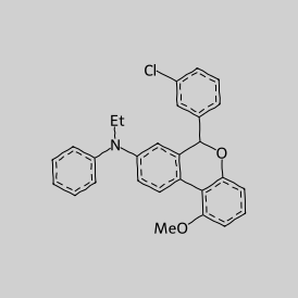 CCN(c1ccccc1)c1ccc2c(c1)C(c1cccc(Cl)c1)Oc1cccc(OC)c1-2